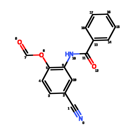 N#Cc1ccc(OC=O)c(NC(=O)c2ccccc2)c1